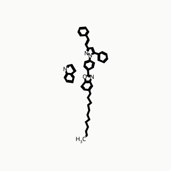 CCCCCCCCCCCCc1ccc2oc(-c3ccc(-n4nc(C=Cc5ccccc5)cc4-c4ccccc4)cc3)nc2c1.c1ccc2ncccc2c1